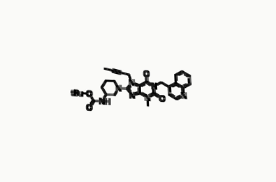 CC#CCn1c(N2CCCC(NC(=O)OC(C)(C)C)C2)nc2c1c(=O)n(Cc1ccnc3ccccc13)c(=O)n2C